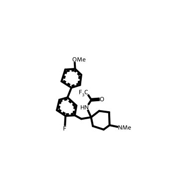 CNC1CCC(Cc2cc(-c3ccc(OC)cc3)ccc2F)(NC(=O)C(F)(F)F)CC1